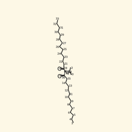 CCC.CCCCCCCCCCCCCC(=O)NC(=O)CCCCCCCCCCCCC